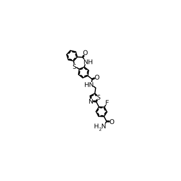 NC(=O)c1ccc(-c2ncc(CNC(=O)c3ccc4c(c3)NC(=O)c3ccccc3S4)s2)c(F)c1